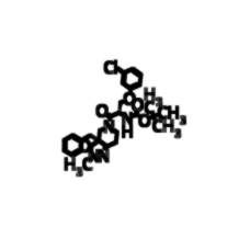 CN1N=C2CCN(C(=O)[C@@H](COc3cccc(Cl)c3)NC(=O)OC(C)(C)C)C[C@@]2(Cc2ccccc2)C1=O